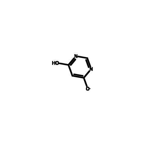 [O]c1cc(O)ncn1